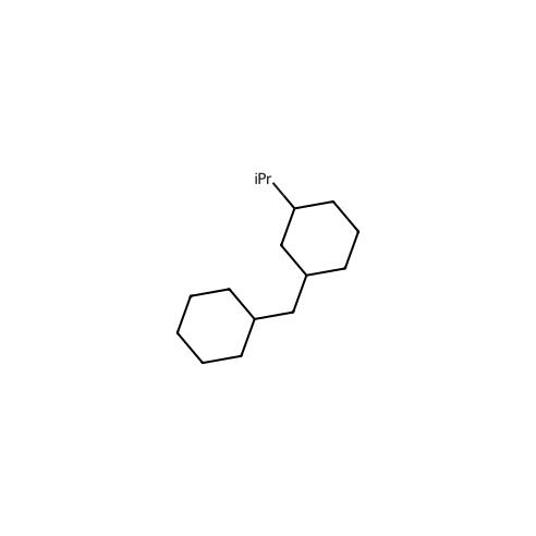 CC(C)C1CCCC(CC2CCCCC2)C1